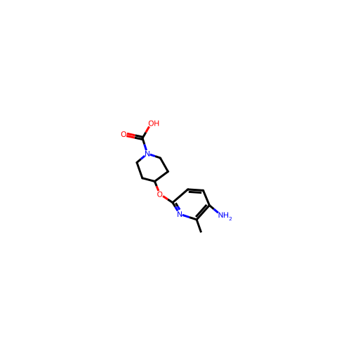 Cc1nc(OC2CCN(C(=O)O)CC2)ccc1N